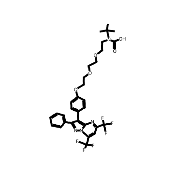 CC(C)(C)N(CCOCCOCCOc1ccc(-c2c(-c3ccccc3)nn3c(C(F)(F)F)cc(C(F)(F)F)nc23)cc1)C(=O)O